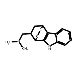 CN(C)CC1CC2CCC1c1[nH]c3ccccc3c12